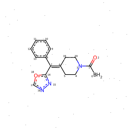 BC(=O)N1CCC(=C(c2ccccc2)c2nnco2)CC1